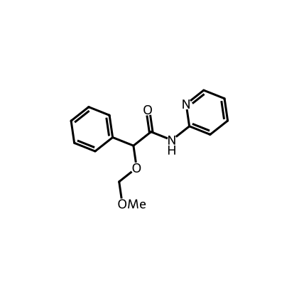 COCOC(C(=O)Nc1ccccn1)c1ccccc1